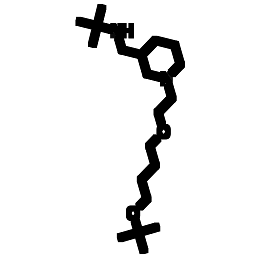 CC(C)(C)NCC1CCCN(CCOCCCCOC(C)(C)C)C1